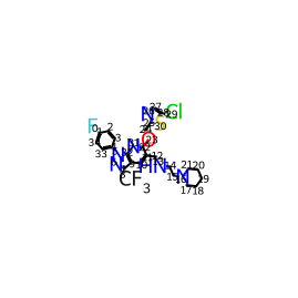 Fc1ccc(-n2nc(C(F)(F)F)c3cc(CNCCN4CCCCC4)c(OCc4ncc(Cl)s4)nc32)cc1